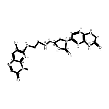 Cn1c(=O)cnc2cc(F)c(OCCNC[C@H]3CN(c4cnc5c(n4)NC(=O)CO5)C(=O)O3)nc21